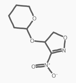 O=[N+]([O-])C1=NOCC1OC1CCCCO1